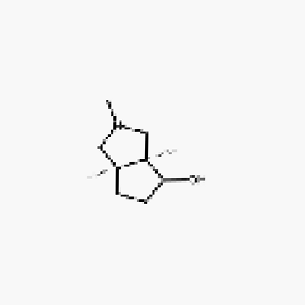 CN1C[C@@H]2CCC(O)[C@@H]2C1